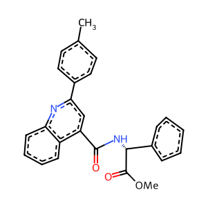 COC(=O)[C@H](NC(=O)c1cc(-c2ccc(C)cc2)nc2ccccc12)c1ccccc1